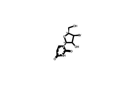 O=c1ccn([C@H]2O[C@@H](CO)C(Br)C2O)c(=O)[nH]1